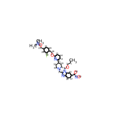 CCCOCn1c(CN2CCC(c3cccc(OCc4ccc(CON(C)C)cc4F)n3)CC2)nc2ccc(C(=O)N=O)cc21